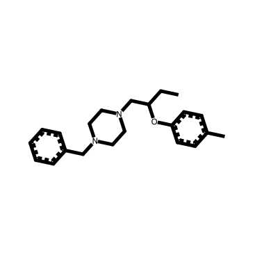 CCC(CN1CCN(Cc2ccccc2)CC1)Oc1ccc(C)cc1